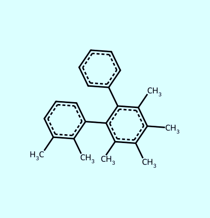 Cc1cccc(-c2c(C)c(C)c(C)c(C)c2-c2ccccc2)c1C